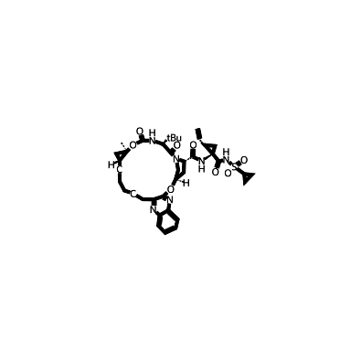 C=C[C@@H]1C[C@]1(NC(=O)[C@@H]1C[C@@H]2CN1C(=O)[C@H](C(C)(C)C)NC(=O)O[C@]1(C)C[C@H]1CCCCCc1nc3ccccc3nc1O2)C(=O)NS(=O)(=O)C1CC1